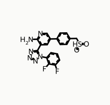 Nc1ncc(-c2ccc(C[SH](=O)=O)cc2)cc1-c1nnnn1-c1cccc(F)c1F